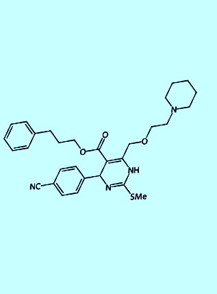 CSC1=NC(c2ccc(C#N)cc2)C(C(=O)OCCCc2ccccc2)=C(COCCN2CCCCC2)N1